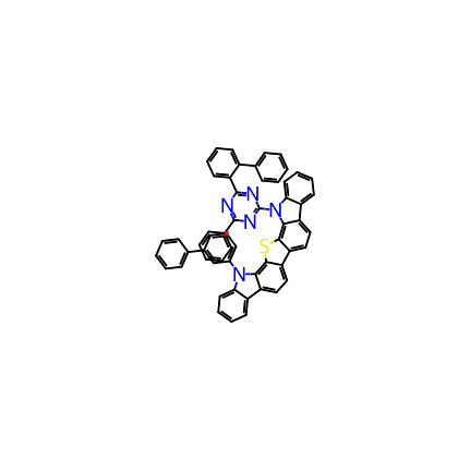 c1ccc(-c2cccc(-n3c4ccccc4c4ccc5c6ccc7c8ccccc8n(-c8nc(-c9ccccc9)nc(-c9ccccc9-c9ccccc9)n8)c7c6sc5c43)c2)cc1